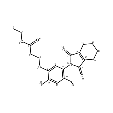 CCOC(=O)CCOc1cc(N2C(=O)C3=C(CCCC3)C2=O)c(Cl)cc1Cl